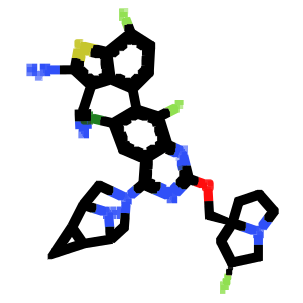 N#Cc1c(N)sc2c(F)ccc(-c3c(Cl)cc4c(N5CC6NC(C5)C5CC65)nc(OC[C@@]56CCCN5C[C@H](F)C6)nc4c3F)c12